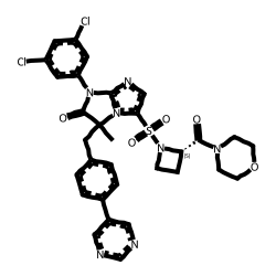 CC1(Cc2ccc(-c3cncnc3)cc2)C(=O)N(c2cc(Cl)cc(Cl)c2)c2ncc(S(=O)(=O)N3CC[C@H]3C(=O)N3CCOCC3)n21